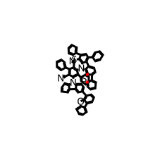 N#Cc1c(-c2ccccc2)c(C#N)c(-n2c3c(ccc4c5ccccc5sc43)c3c(-c4ccccc4)cc4c5ccccc5sc4c32)c(-c2ccccc2)c1-n1c2ccccc2c2cc(-c3cccc4c3oc3ccccc34)ccc21